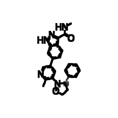 CNC(=O)c1n[nH]c2cc(-c3cnc(C)c(N4OCC[C@H]4c4ccccc4)c3)ccc12